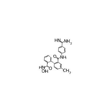 Cc1ccc(-c2ccccc2C(=O)NO)c(C(=O)Nc2ccc(C(=N)N)cc2)c1